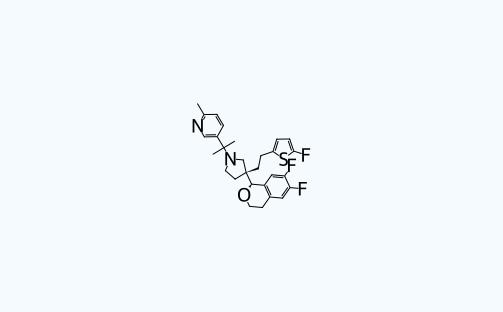 Cc1ccc(C(C)(C)N2CC[C@@](CCc3ccc(F)s3)([C@@H]3OCCc4cc(F)c(F)cc43)C2)cn1